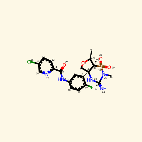 C[C@@H]1OC[C@]2(c3cc(NC(=O)c4ccc(Cl)cn4)ccc3F)NC(=N)N(C)S(=O)(=O)[C@H]12